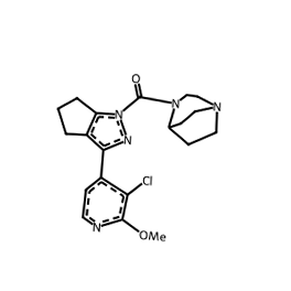 COc1nccc(-c2nn(C(=O)N3CCN4CCC3CC4)c3c2CCC3)c1Cl